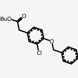 CC(C)COC(=O)Cc1ccc(OCc2ccccc2)c(Cl)c1